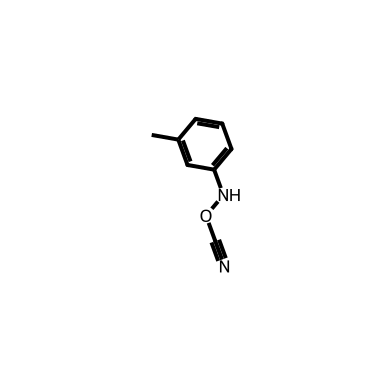 Cc1cccc(NOC#N)c1